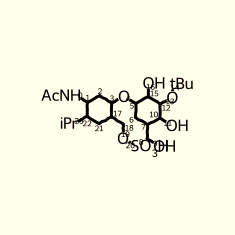 CC(=O)NC1CC(OC2CC(CO)C(O)C(OC(C)(C)C)C2O)C(COS(=O)(=O)O)CC1C(C)C